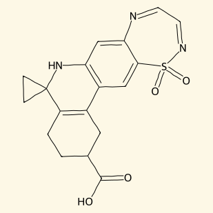 O=C(O)C1CCC2=C(C1)c1cc3c(cc1NC21CC1)N=CC=NS3(=O)=O